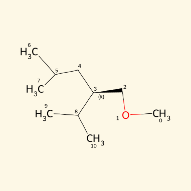 COC[C@H](CC(C)C)C(C)C